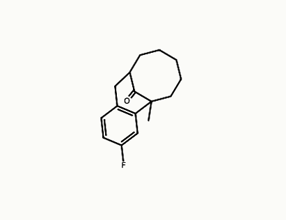 CC12CCCCCC(Cc3ccc(F)cc31)C2=O